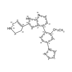 COc1cc(-n2cccn2)ccc1-c1ccnc2[nH]c(C3=CCNCC3)cc12